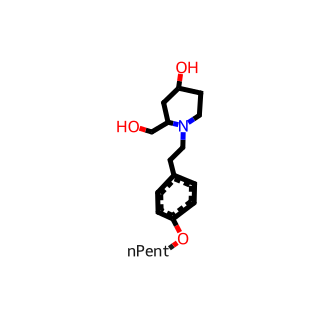 CCCCCOc1ccc(CCN2CCC(O)CC2CO)cc1